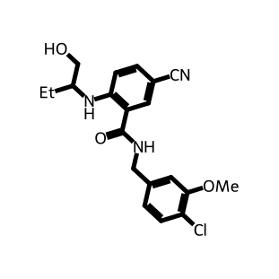 CCC(CO)Nc1ccc(C#N)cc1C(=O)NCc1ccc(Cl)c(OC)c1